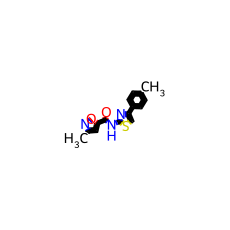 Cc1ccc(-c2csc(NC(=O)c3cc(C)no3)n2)cc1